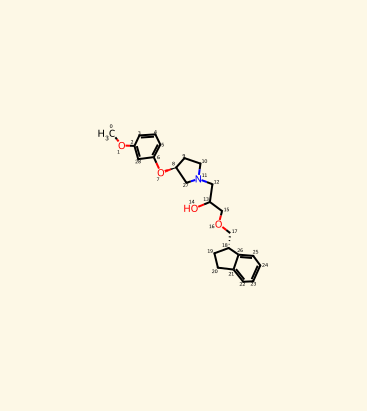 COc1cccc(O[C@H]2CCN(CC(O)COC[C@H]3CCc4ccccc43)C2)c1